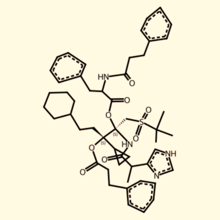 CC(C(=O)N[C@](CS(=O)(=O)C(C)(C)C)(OC(=O)C(Cc1ccccc1)NC(=O)CCc1ccccc1)[C@@](CCC1CCCCC1)(OC(=O)CCc1ccccc1)C1CC1)c1c[nH]cn1